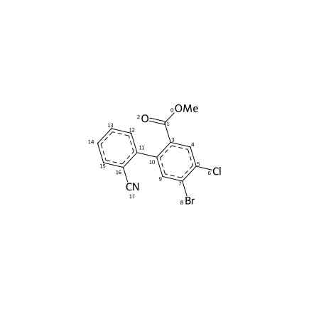 COC(=O)c1cc(Cl)c(Br)cc1-c1ccccc1C#N